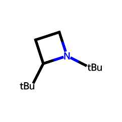 CC(C)(C)C1CCN1C(C)(C)C